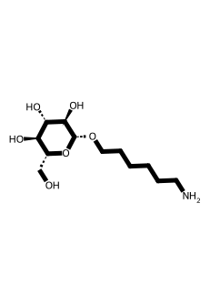 NCCCCCCO[C@@H]1O[C@H](CO)[C@@H](O)[C@H](O)[C@H]1O